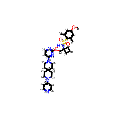 COc1cc(C)c(S(=O)(=O)NC2(COc3nccc(N4CCC5(CCN(c6ccncc6)CC5)CC4)n3)CCC2)c(C)c1